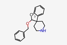 FC(F)(F)C(OCc1ccccc1)C1(c2ccccc2)CCNCC1